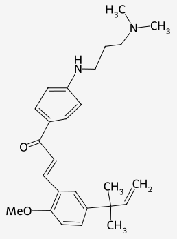 C=CC(C)(C)c1ccc(OC)c(C=CC(=O)c2ccc(NCCCN(C)C)cc2)c1